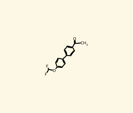 CC(=O)c1ccc(-c2ccc(OC(F)F)cc2)cc1